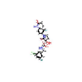 O=C1CCc2c(ccc(N3CCC(O)(OC(=O)NCc4cc(F)cc(Cl)c4)C3=O)c2F)N1